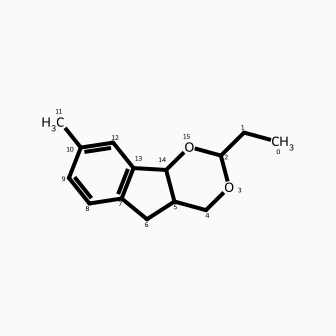 CCC1OCC2Cc3ccc(C)cc3C2O1